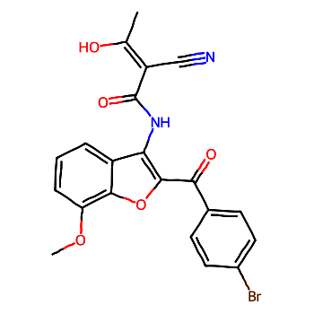 COc1cccc2c(NC(=O)/C(C#N)=C(/C)O)c(C(=O)c3ccc(Br)cc3)oc12